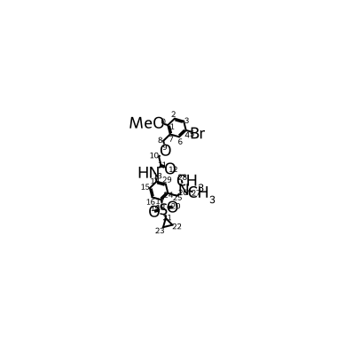 COc1ccc(Br)cc1COCC(=O)Nc1ccc(S(=O)(=O)C2CC2)c(CN(C)C)c1